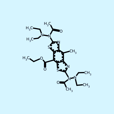 CCOC(=O)c1c2sc(N(C(C)=O)N(CC)CC)nc2c(C)c2nc(N(C(C)=O)N(CC)CC)sc12